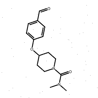 CN(C)C(=O)N1CCC(Oc2ccc(C=O)cc2)CC1